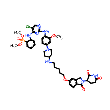 COc1cc(N2CCC(NCCCCCOc3ccc4c(c3)CN(C3CCC(=O)NC3=O)C4=O)CC2)ccc1Nc1ncc(Cl)c(Nc2ccccc2P(=O)(OC)OC)n1